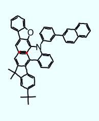 CC(C)(C)c1ccc2c(c1)C(C)(C)c1cccc(-c3ccccc3N(c3cccc(-c4ccc5ccccc5c4)c3)c3cccc4c3oc3ccccc34)c1-2